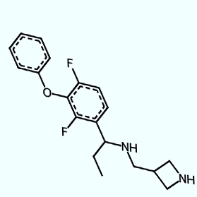 CCC(NCC1CNC1)c1ccc(F)c(Oc2ccccc2)c1F